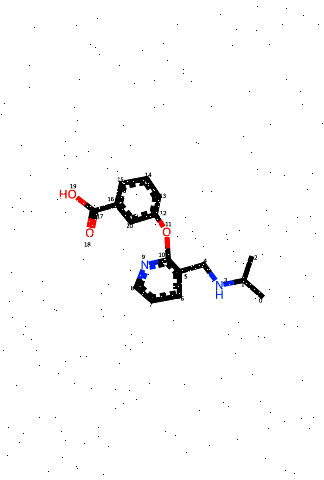 CC(C)NCc1cccnc1Oc1cccc(C(=O)O)c1